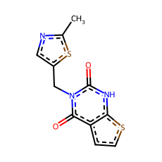 Cc1ncc(Cn2c(=O)[nH]c3sccc3c2=O)s1